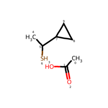 CC(=O)O.CC(S)C1CC1